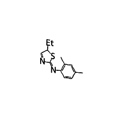 CCC1C=NC(=Nc2ccc(C)cc2C)S1